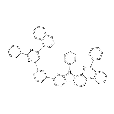 c1ccc(-c2nc(-c3cccc(-c4ccc5c6ccc7c8ccccc8c(-c8ccccc8)nc7c6n(-c6ccccc6)c5c4)c3)cc(-c3cccc4ccccc34)n2)cc1